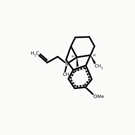 C=CCN(C)[C@@H]1C2CCC[C@]1(C)c1cc(OC)ccc1C2